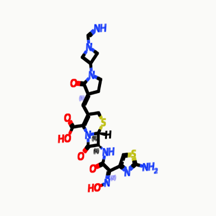 N=CN1CC(N2CC/C(=C\C3=C(C(=O)O)N4C(=O)[C@@H](NC(=O)/C(=N\O)c5csc(N)n5)[C@H]4SC3)C2=O)C1